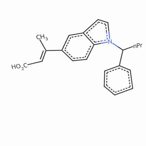 CCCC(c1ccccc1)n1ccc2cc(C(C)=CC(=O)O)ccc21